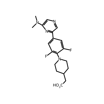 CN(C)c1cncc(-c2cc(F)c(N3CCC(CC(=O)O)CC3)c(F)c2)n1